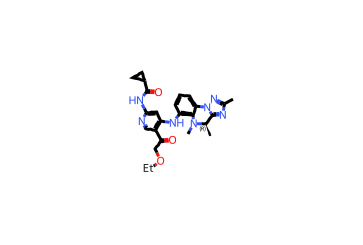 CCOCC(=O)c1cnc(NC(=O)C2CC2)cc1Nc1cccc2c1N(C)[C@H](C)c1nc(C)nn1-2